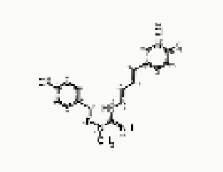 CN(N=Cc1ccc(Cl)cc1)C(=N)NN=CC=Cc1ccc(Cl)c(Cl)c1